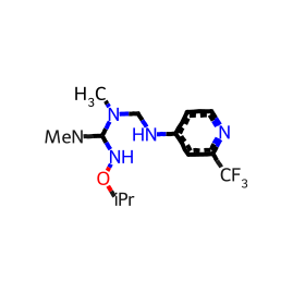 CNC(NOC(C)C)N(C)CNc1ccnc(C(F)(F)F)c1